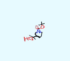 CC(C)(C)OC(=O)N1CCC=C(C(C)(C)O)C1